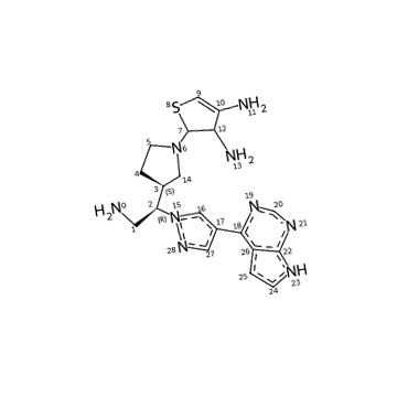 NC[C@@H]([C@H]1CCN(C2SC=C(N)C2N)C1)n1cc(-c2ncnc3[nH]ccc23)cn1